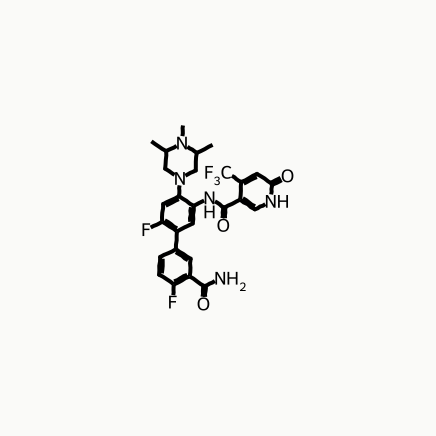 CC1CN(c2cc(F)c(-c3ccc(F)c(C(N)=O)c3)cc2NC(=O)c2c[nH]c(=O)cc2C(F)(F)F)CC(C)N1C